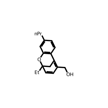 CCCc1ccc2c(c1)OC1(CC)C=CC(CO)=C2C1